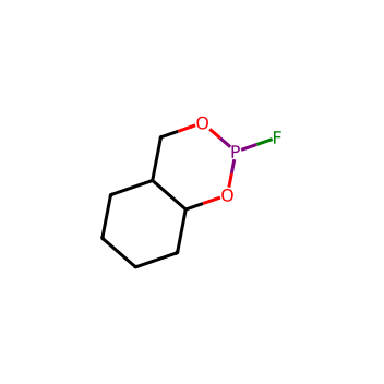 FP1OCC2CCCCC2O1